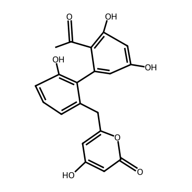 CC(=O)c1c(O)cc(O)cc1-c1c(O)cccc1Cc1cc(O)cc(=O)o1